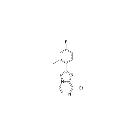 CCc1nccn2cc(-c3ccc(F)cc3F)nc12